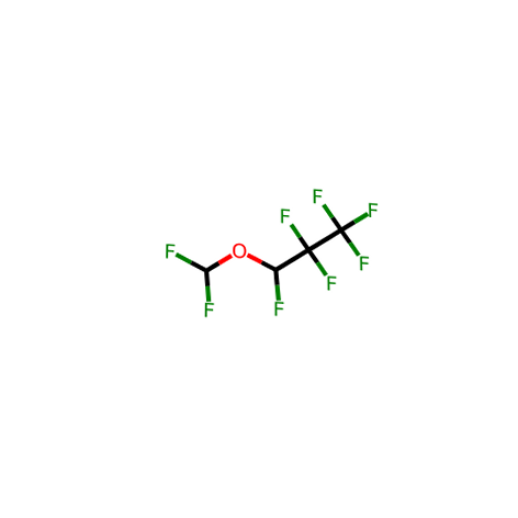 FC(F)OC(F)C(F)(F)C(F)(F)F